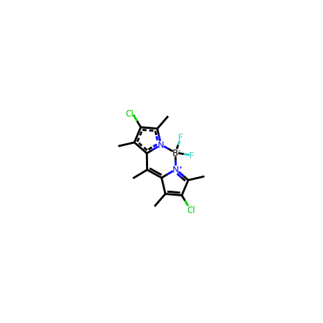 CC1=C(Cl)C(C)=[N+]2C1=C(C)c1c(C)c(Cl)c(C)n1[B-]2(F)F